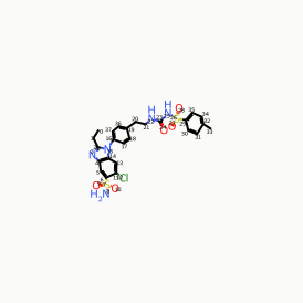 CCc1nc2cc(S(N)(=O)=O)c(Cl)cc2n1-c1ccc(CCNC(=O)NS(=O)(=O)c2ccc(C)cc2)cc1